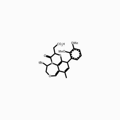 COc1cccc(C2C=C(C)C3=COCC(C(C)(C)C)N4C(=O)C(CC(=O)O)SC2=C34)c1OC